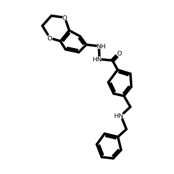 O=C(NNc1ccc2c(c1)OCCO2)c1ccc(CNCc2ccccc2)cc1